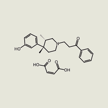 C[C@@H]1CN(CCC(=O)c2ccccc2)CC[C@]1(C)c1cccc(O)c1.O=C(O)/C=C\C(=O)O